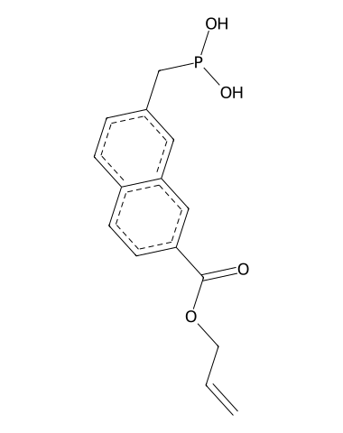 C=CCOC(=O)c1ccc2ccc(CP(O)O)cc2c1